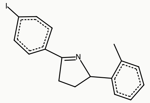 Cc1ccccc1C1CCC(c2ccc(I)cc2)=N1